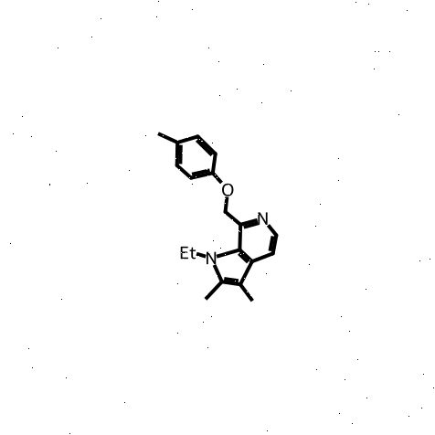 CCn1c(C)c(C)c2ccnc(COc3ccc(C)cc3)c21